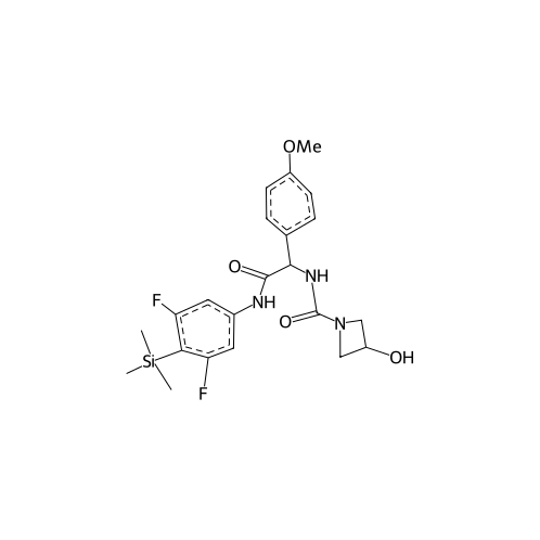 COc1ccc(C(NC(=O)N2CC(O)C2)C(=O)Nc2cc(F)c([Si](C)(C)C)c(F)c2)cc1